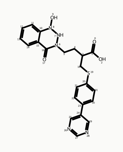 O=C(O)C(CCN1NN(O)c2ccccc2C1=O)CSc1ccc(-c2cncnc2)cc1